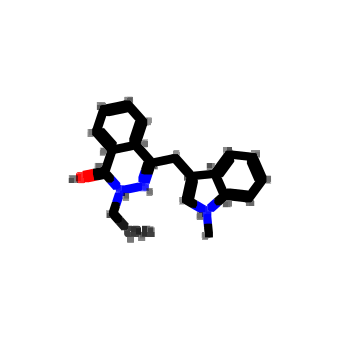 CCOC(=O)Cn1nc(Cc2cn(C)c3ccccc23)c2ccccc2c1=O